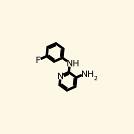 Nc1cccnc1Nc1cccc(F)c1